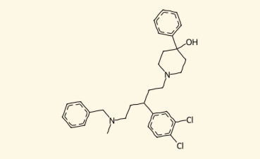 CN(CCC(CCN1CCC(O)(c2ccccc2)CC1)c1ccc(Cl)c(Cl)c1)Cc1ccccc1